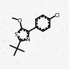 COc1sc(C(C)(C)C)nc1-c1ccc(Cl)cc1